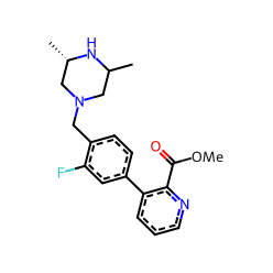 COC(=O)c1ncccc1-c1ccc(CN2CC(C)N[C@@H](C)C2)c(F)c1